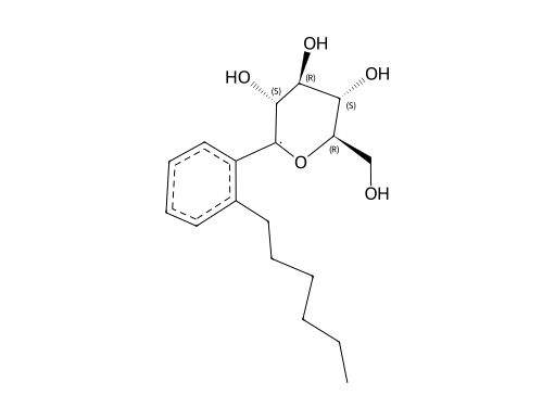 CCCCCCc1ccccc1[C]1O[C@H](CO)[C@@H](O)[C@H](O)[C@H]1O